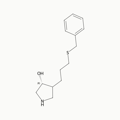 O[C@H]1CNCC1CCCSCc1ccccc1